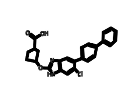 O=C(O)C1CCC(Oc2nc3cc(-c4ccc(-c5ccccc5)cc4)c(Cl)cc3[nH]2)C1